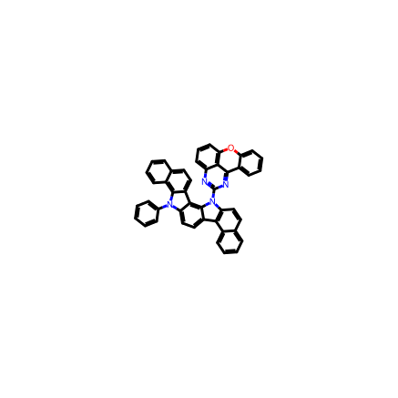 c1ccc(-n2c3ccc4c5c6ccccc6ccc5n(-c5nc6c7c(cccc7n5)Oc5ccccc5-6)c4c3c3ccc4ccccc4c32)cc1